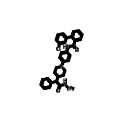 CCCNC(=O)C(c1ccccc1)C1CCN(c2ccc(NC(=O)c3ccccc3-c3cccc(Cl)c3)cc2)CC1